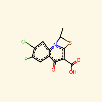 CC1Sc2c(C(=O)O)c(=O)c3cc(F)c(Cl)cc3n21